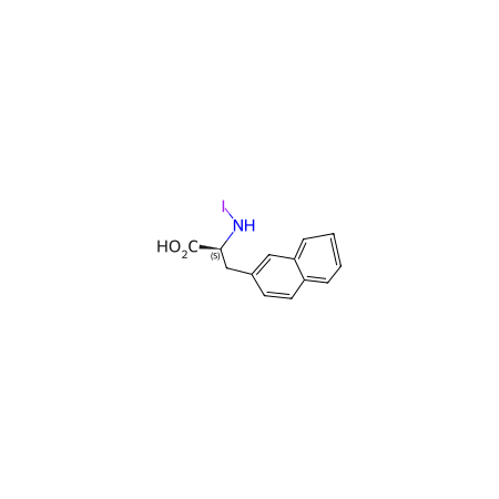 O=C(O)[C@H](Cc1ccc2ccccc2c1)NI